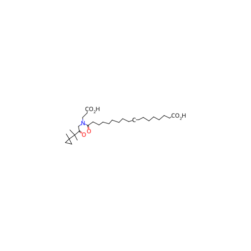 CC1(C(C)(C)C(=O)CN(CCC(=O)O)C(=O)CCCCCCCCCCCCCCCCC(=O)O)CC1